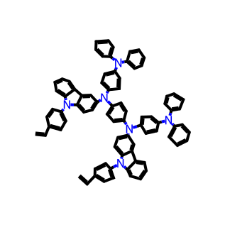 C=Cc1ccc(-n2c3ccccc3c3cc(N(c4ccc(N(c5ccccc5)c5ccccc5)cc4)c4ccc(N(c5ccc(N(c6ccccc6)c6ccccc6)cc5)c5ccc6c(c5)c5ccccc5n6-c5ccc(C=C)cc5)cc4)ccc32)cc1